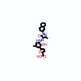 CC1=NN(c2ccc3c(c2)CCCC3)C(=O)C1=NNc1cc(C)cc(-c2ccc(C(=O)O)o2)c1O